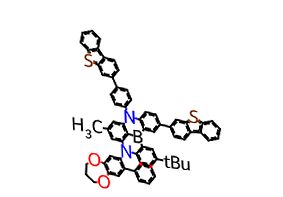 Cc1cc2c3c(c1)N(c1cc4c(cc1-c1ccccc1)OCCCO4)c1ccc(C(C)(C)C)cc1B3c1cc(-c3ccc4c(c3)sc3ccccc34)ccc1N2c1ccc(-c2ccc3c(c2)sc2ccccc23)cc1